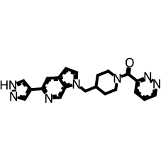 O=C(c1cccnn1)N1CCC(Cn2ccc3cc(-c4cn[nH]c4)ncc32)CC1